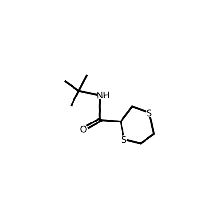 CC(C)(C)NC(=O)C1CSCCS1